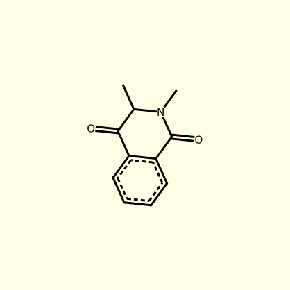 CC1C(=O)c2ccccc2C(=O)N1C